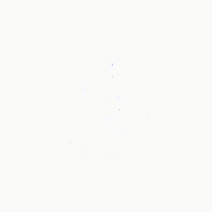 NC(=O)c1cnccc1Nc1nc(-c2cc(CI)ccc2F)nc2c1CCC2